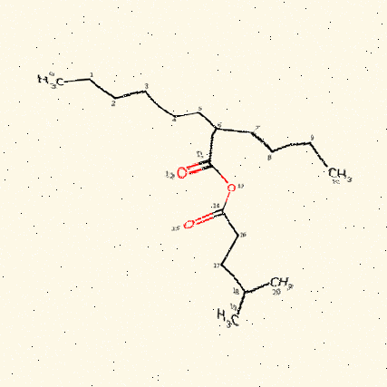 CCCCCCC(CCCC)C(=O)OC(=O)CCC(C)C